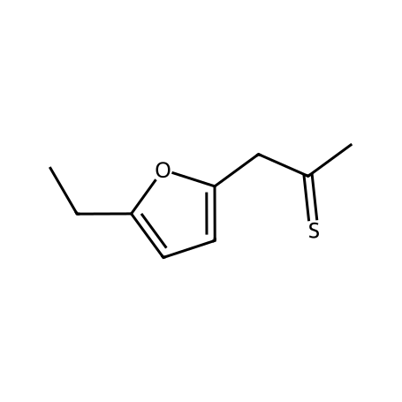 CCc1ccc(CC(C)=S)o1